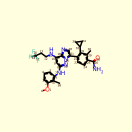 COc1cccc(Nc2cc(NCCC(F)(F)F)c3ncc(-c4ccc(C(N)=O)c(C)c4C4CC4)n3n2)c1C